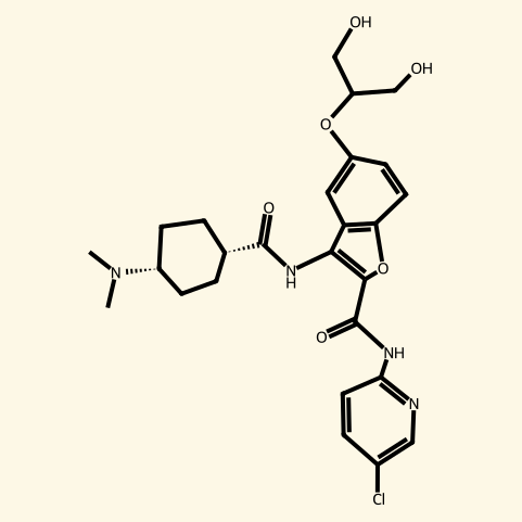 CN(C)[C@H]1CC[C@@H](C(=O)Nc2c(C(=O)Nc3ccc(Cl)cn3)oc3ccc(OC(CO)CO)cc23)CC1